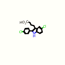 O=C(O)CCCc1c(-c2ccc(Cl)cc2)[nH]c2ccc(Cl)cc12